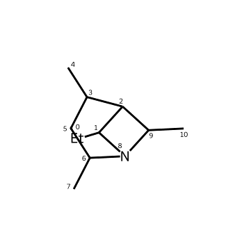 CCC1C2C(C)CC(C)N1C2C